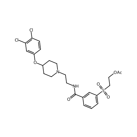 CC(=O)OCCS(=O)(=O)c1cccc(C(=O)NCCN2CCC(Oc3ccc(Cl)c(Cl)c3)CC2)c1